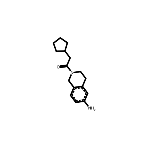 Nc1ccc2c(c1)CCN(C(=O)CC1CCCC1)C2